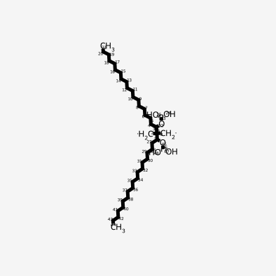 [CH2]C([CH2])([C](CCCCCCCCCCCCCCCCCC)OP(O)O)C(CCCCCCCCCCCCCCCCCC)OP(O)O